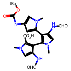 Cn1cc(NC(=O)OC(C)(C)C)cc1-c1c(NC=O)cn(C)c1-c1c(NC=O)cn(C)c1C(=O)O